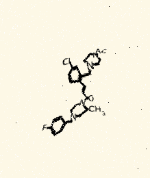 CC(=O)N1CCN(Cc2cc(Cl)ccc2C=CC(=O)N2CCN(Cc3ccc(F)cc3)CC2C)CC1